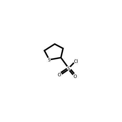 O=S(=O)(Cl)C1CCCS1